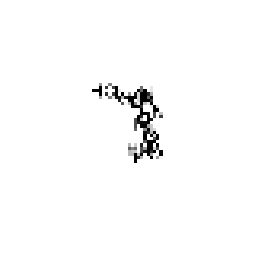 CC(C)CNC(=O)C1(C)CCN(c2ccc(-c3cc(OCC(C)(C)O)cn4ncc(C#N)c34)cn2)CC1